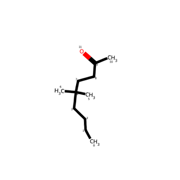 CCCCC(C)(C)CCC(C)=O